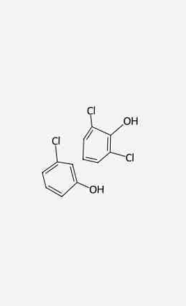 Oc1c(Cl)cccc1Cl.Oc1cccc(Cl)c1